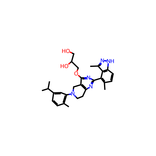 Cc1ccc(C(C)C)cc1N1CCc2nc(-c3c(C)ccc4[nH]nc(C)c34)nc(OCC(O)CO)c2C1